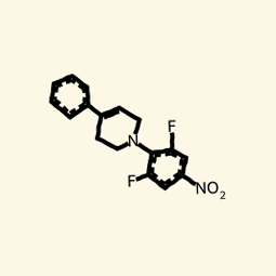 O=[N+]([O-])c1cc(F)c(N2CC=C(c3ccccc3)CC2)c(F)c1